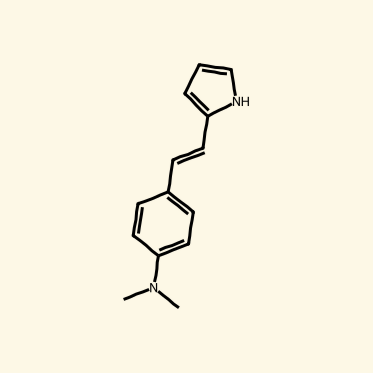 CN(C)c1ccc(C=Cc2ccc[nH]2)cc1